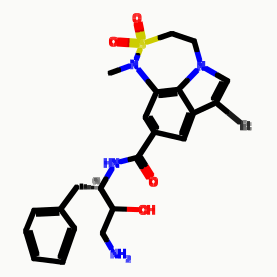 CCc1cn2c3c(cc(C(=O)N[C@@H](Cc4ccccc4)C(O)CN)cc13)N(C)S(=O)(=O)CC2